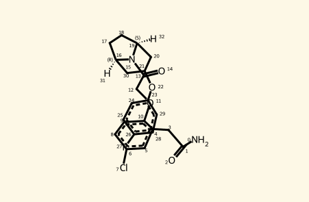 NC(=O)Cc1cc(Cl)ccc1OCC(=O)N1[C@@H]2CC[C@H]1CC(Oc1ccc(F)cc1)C2